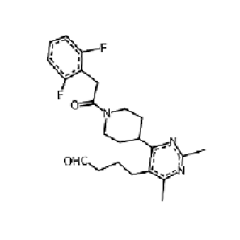 Cc1nc(C)c(CCCC=O)c(C2CCN(C(=O)Cc3c(F)cccc3F)CC2)n1